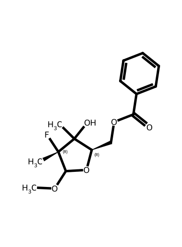 COC1O[C@H](COC(=O)c2ccccc2)C(C)(O)[C@@]1(C)F